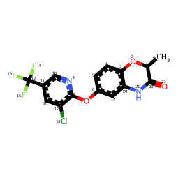 CC1Oc2ccc(Oc3ncc(C(F)(F)F)cc3Cl)cc2NC1=O